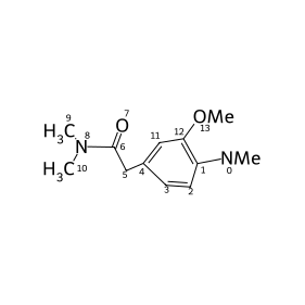 CNc1ccc(CC(=O)N(C)C)cc1OC